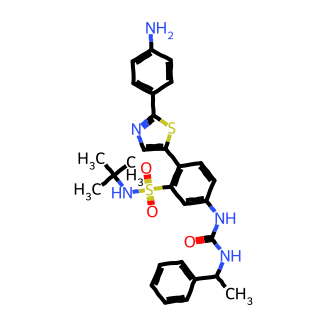 CC(NC(=O)Nc1ccc(-c2cnc(-c3ccc(N)cc3)s2)c(S(=O)(=O)NC(C)(C)C)c1)c1ccccc1